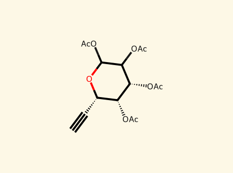 C#C[C@@H]1OC(OC(C)=O)C(OC(C)=O)[C@H](OC(C)=O)[C@@H]1OC(C)=O